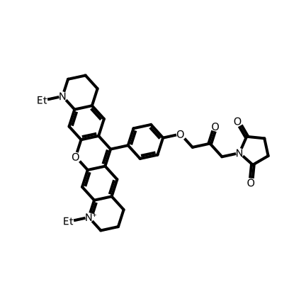 CCN1CCCc2cc3c(cc21)Oc1cc2c(cc1=C3c1ccc(OCC(=O)CN3C(=O)CCC3=O)cc1)CCC[N+]=2CC